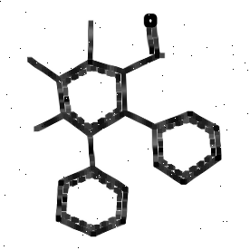 Cc1c(C)c([C]=O)c(-c2ccccc2)c(-c2ccccc2)c1C